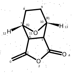 C=C1OC(=O)C2C1[C@@H]1CC[C@H]2O1